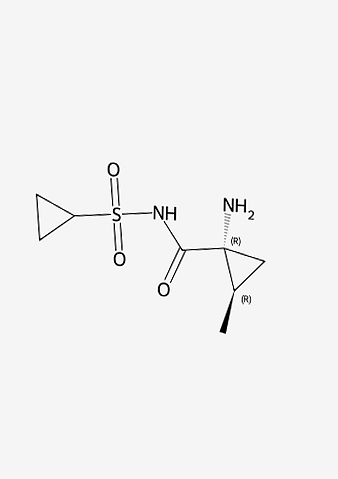 C[C@@H]1C[C@]1(N)C(=O)NS(=O)(=O)C1CC1